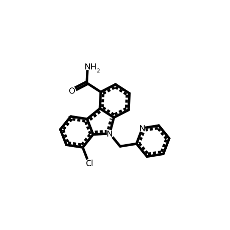 NC(=O)c1cccc2c1c1[c]ccc(Cl)c1n2Cc1ccccn1